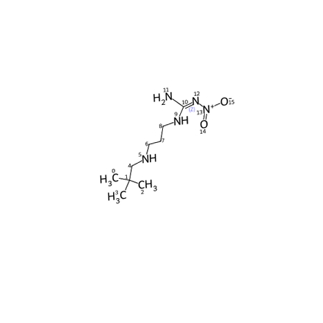 CC(C)(C)CNCCCN/C(N)=N\[N+](=O)[O-]